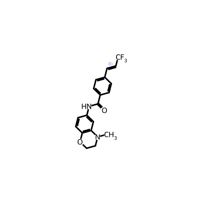 CN1CCOc2ccc(NC(=O)c3ccc(/C=C/C(F)(F)F)cc3)cc21